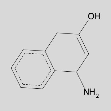 NC1C=C(O)Cc2ccccc21